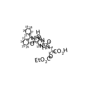 CCOC(=O)OCC(CNC(=O)c1ncc(C(=O)NC(c2ccccc2)c2ccccc2)c(O)n1)C(=O)O